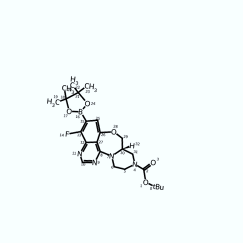 CC(C)(C)OC(=O)N1CCN2c3ncnc4c(F)c(B5OC(C)(C)C(C)(C)O5)cc(c34)OC[C@@H]2C1